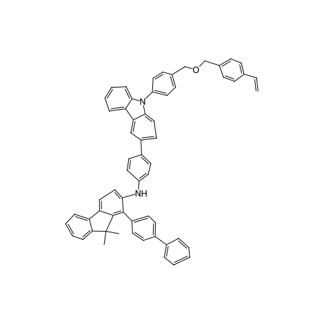 C=Cc1ccc(COCc2ccc(-n3c4ccccc4c4cc(-c5ccc(Nc6ccc7c(c6-c6ccc(-c8ccccc8)cc6)C(C)(C)c6ccccc6-7)cc5)ccc43)cc2)cc1